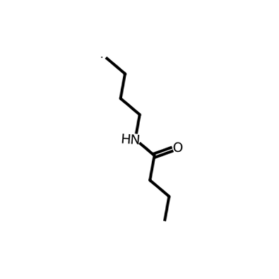 [CH2]CCCNC(=O)CCC